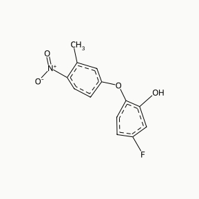 Cc1cc(Oc2ccc(F)cc2O)ccc1[N+](=O)[O-]